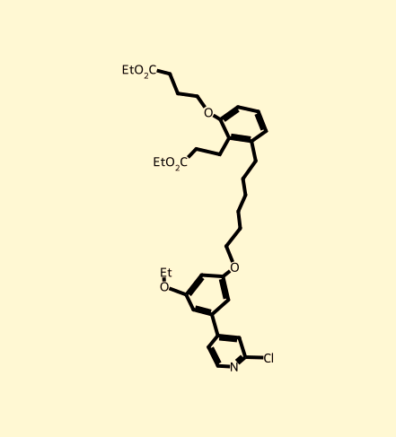 CCOC(=O)CCCOc1cccc(CCCCCCOc2cc(OCC)cc(-c3ccnc(Cl)c3)c2)c1CCC(=O)OCC